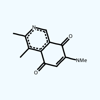 CNC1=CC(=O)c2c(cnc(C)c2C)C1=O